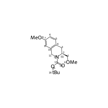 COC[C@@H]1Cc2ccc(OC)cc2CN1C(=O)OC(C)(C)C